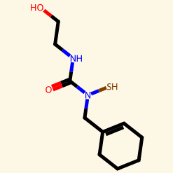 O=C(NCCO)N(S)CC1=CCCCC1